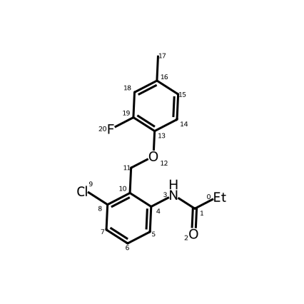 CCC(=O)Nc1cccc(Cl)c1COc1ccc(C)cc1F